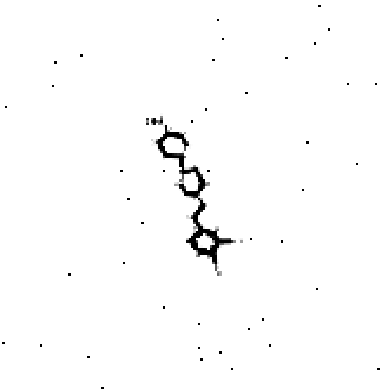 O=C[C@H]1CC[C@H]([C@H]2CC[C@H](CCc3ccc(F)c(F)c3)CC2)CC1